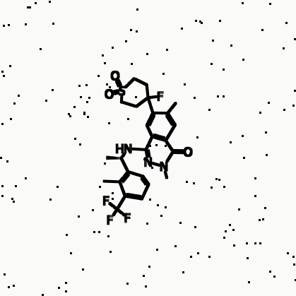 Cc1cc2c(=O)n(C)nc(N[C@H](C)c3cccc(C(F)(F)F)c3C)c2cc1C1(F)CCS(=O)(=O)CC1